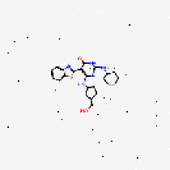 O=c1[nH]c(NC2CCCCC2)nc(NC2CC[C@@H](CO)C2)c1-c1nc2ccccc2s1